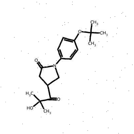 CC(C)(C)Oc1ccc(N2CC(C(=O)C(C)(C)O)CC2=O)cc1